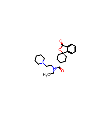 CCN(CCN1CCCCC1)C(=O)[C@H]1CC[C@@]2(CC1)OC(=O)c1ccccc12